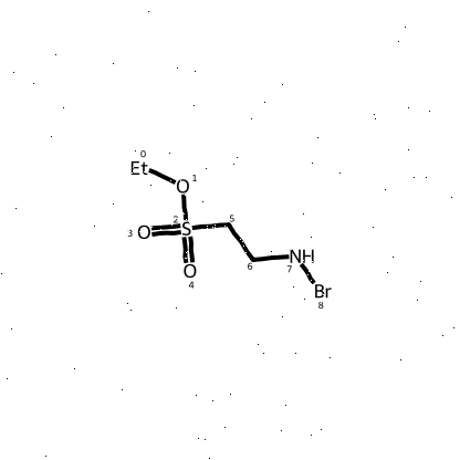 CCOS(=O)(=O)CCNBr